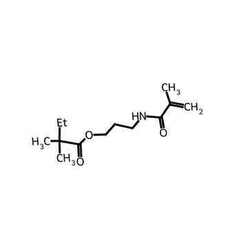 C=C(C)C(=O)NCCCOC(=O)C(C)(C)CC